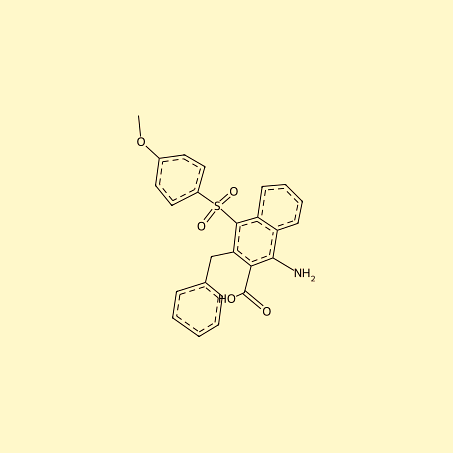 COc1ccc(S(=O)(=O)c2c(Cc3ccccc3)c(C(=O)O)c(N)c3ccccc23)cc1